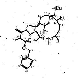 C=C(CCC1/C(C)=C(\C(CCCC(C)CC)C(C)C)CCCC(CC)CCC(C)NCC1C)C(C)C(=O)OCc1ccccc1